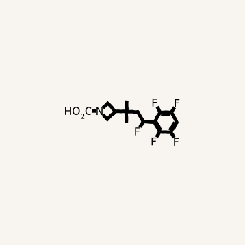 CC(C)(CC(F)c1c(F)c(F)cc(F)c1F)C1CN(C(=O)O)C1